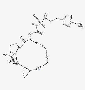 Cc1ccc(CCNS(=O)(=O)NC(=O)OC2CCCCC/C=C/C3CC3NC(=O)C3(C(N)=O)CCCN3C2=O)cc1